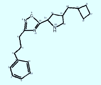 c1ccc(CCCc2noc(C3CC(CC4CCC4)CN3)n2)cc1